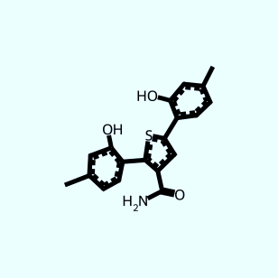 Cc1ccc(-c2cc(C(N)=O)c(-c3ccc(C)cc3O)s2)c(O)c1